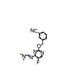 CN(C)/C=N/c1nc(OCc2cccc(C#N)c2)ncc1F